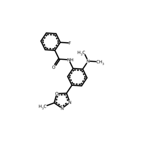 Cc1nnc(-c2ccc(N(C)C)c(NC(=O)c3ccccc3F)c2)o1